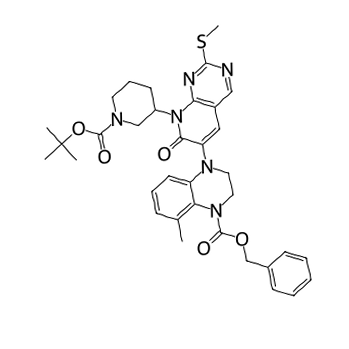 CSc1ncc2cc(N3CCN(C(=O)OCc4ccccc4)c4c(C)cccc43)c(=O)n(C3CCCN(C(=O)OC(C)(C)C)C3)c2n1